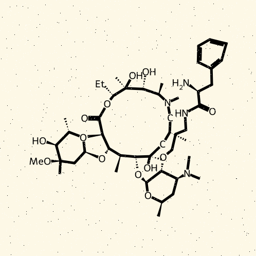 CC[C@H]1OC(=O)[C@H](C)[C@@H](O[C@H]2C[C@@](C)(OC)[C@@H](O)[C@H](C)O2)[C@H](C)[C@@H](O[C@@H]2O[C@H](C)C[C@H](N(C)C)[C@H]2OCCCNC(=O)[C@@H](N)Cc2ccccc2)[C@](C)(O)C[C@@H](C)CN(C)[C@H](C)[C@@H](O)[C@]1(C)O